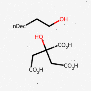 CCCCCCCCCCCCO.O=C(O)CC(O)(CC(=O)O)C(=O)O